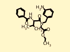 CCOC(=O)CN(Cc1cccc(N)c1)C(=O)[C@@H](NC(=O)c1ccccc1)C(C)C